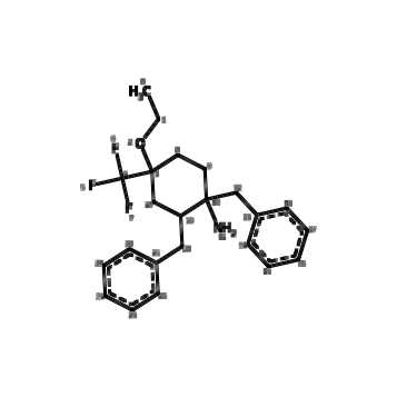 CCOC1(C(F)(F)F)CCC(N)(Cc2ccccc2)C(Cc2ccccc2)C1